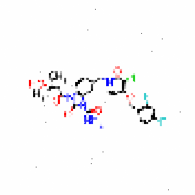 CC(C)(O)CC(=O)n1c(=O)n(C(N)=O)c2cc(Cn3ccc(OCc4ccc(F)cc4F)c(Cl)c3=O)ccc21